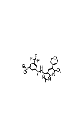 COc1nc2nc(C)nc(NC(C)c3cc([N+](=O)[O-])cc(C(F)(F)F)c3)c2cc1C1=CCOCC1